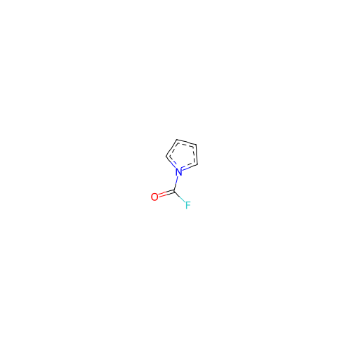 O=C(F)n1cccc1